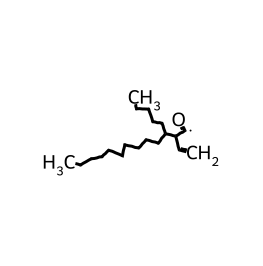 C=CC([C]=O)C(CCCCC)CCCCCCCCCC